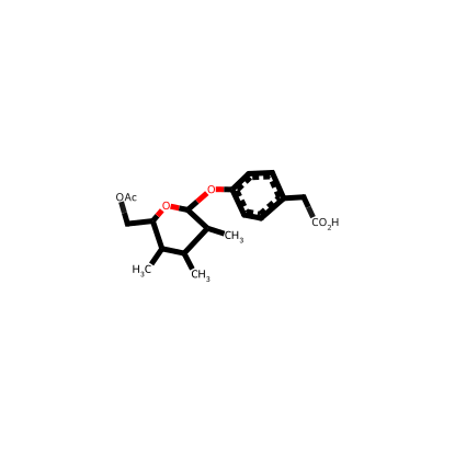 CC(=O)OCC1OC(Oc2ccc(CC(=O)O)cc2)C(C)C(C)C1C